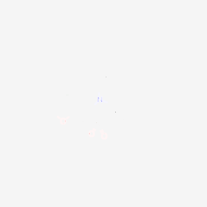 CCCCC1(CC)CN(c2ccccc2)c2cc(F)c(OC)cc2S(=O)(=O)C1